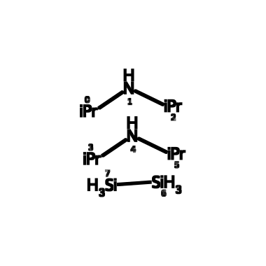 CC(C)NC(C)C.CC(C)NC(C)C.[SiH3][SiH3]